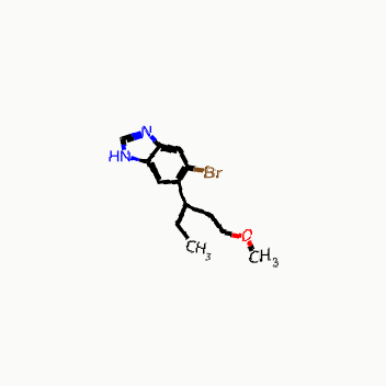 CCC(CCOC)c1cc2[nH]cnc2cc1Br